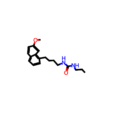 CCCNC(=O)NCCCCc1cccc2ccc(OC)cc12